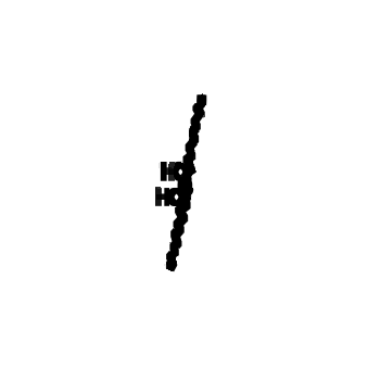 C=CCCCCCCCCCCC(O)COCC(O)CCCCCCCCCCC=C